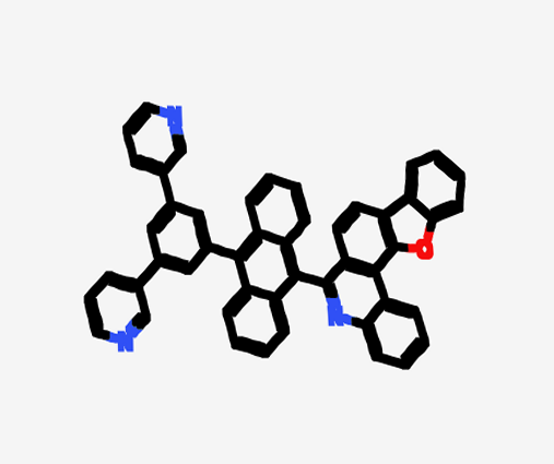 c1cncc(-c2cc(-c3cccnc3)cc(-c3c4ccccc4c(-c4nc5ccccc5c5c4ccc4c6ccccc6oc45)c4ccccc34)c2)c1